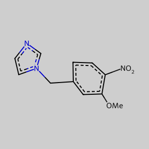 COc1cc(Cn2ccnc2)ccc1[N+](=O)[O-]